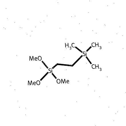 CO[Si](CC[Si](C)(C)C)(OC)OC